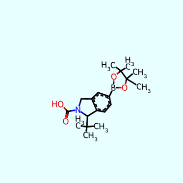 CC(C)(C)C1c2ccc(B3OC(C)(C)C(C)(C)O3)cc2CN1C(=O)O